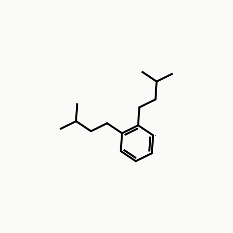 CC(C)CCc1[c]cccc1CCC(C)C